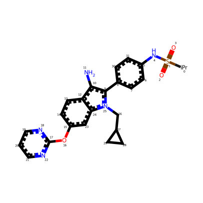 CC(C)S(=O)(=O)Nc1ccc(-c2c(N)c3ccc(Oc4ncccn4)cc3n2CC2CC2)cc1